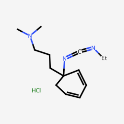 CCN=C=NC1(CCCN(C)C)C=CC=CC1.Cl